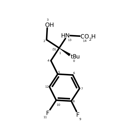 CC(C)(C)[C@](CO)(Cc1ccc(F)c(F)c1)NC(=O)O